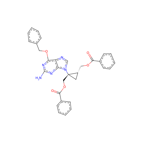 Nc1nc(OCc2ccccc2)c2ncn([C@@]3(COC(=O)c4ccccc4)C[C@H]3COC(=O)c3ccccc3)c2n1